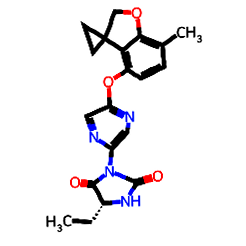 CC[C@H]1NC(=O)N(c2cnc(Oc3ccc(C)c4c3C3(CC3)CO4)cn2)C1=O